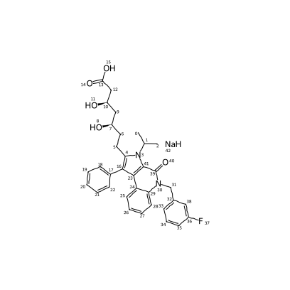 CC(C)n1c(CC[C@@H](O)C[C@@H](O)CC(=O)O)c(-c2ccccc2)c2c3ccccc3n(Cc3cccc(F)c3)c(=O)c21.[NaH]